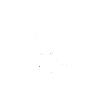 CCC1COC(C(C)C)O1